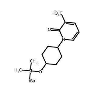 CC(C)(C)[Si](C)(C)OC1CCC(n2cccc(C(=O)O)c2=O)CC1